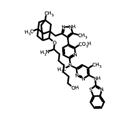 Cc1cc(N(C)c2ccc(-c3c(CC45CC6(C)CC(CC(C)(C6)C4)C5OC(N)CCCCCCO)n[nH]c3C)c(C(=O)O)n2)nnc1Nc1nc2ccccc2s1